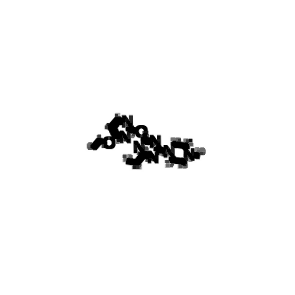 CCOc1ccnc(Oc2nc(CC)nc(N3CCN(C)CC3)n2)n1